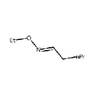 CCCCC=NOCC